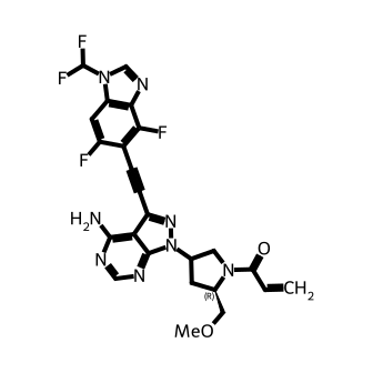 C=CC(=O)N1CC(n2nc(C#Cc3c(F)cc4c(ncn4C(F)F)c3F)c3c(N)ncnc32)C[C@@H]1COC